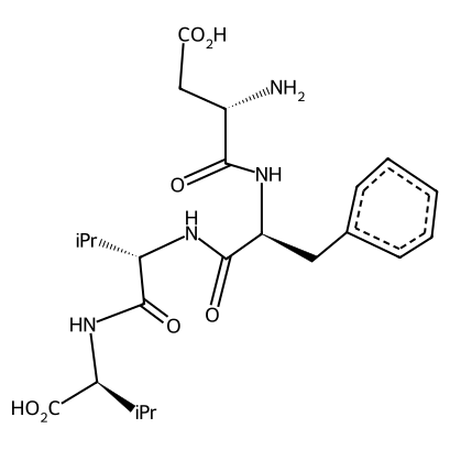 CC(C)[C@H](NC(=O)[C@@H](NC(=O)[C@H](Cc1ccccc1)NC(=O)[C@@H](N)CC(=O)O)C(C)C)C(=O)O